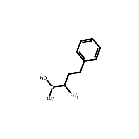 CC(CCc1ccccc1)B(O)O